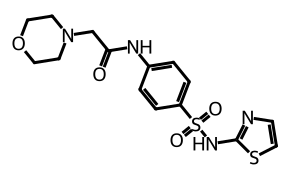 O=C(CN1CCOCC1)Nc1ccc(S(=O)(=O)Nc2nccs2)cc1